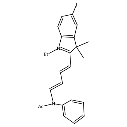 CC[N+]1=C(/C=C/C=C/N(C(C)=O)c2ccccc2)C(C)(C)c2cc(I)ccc21